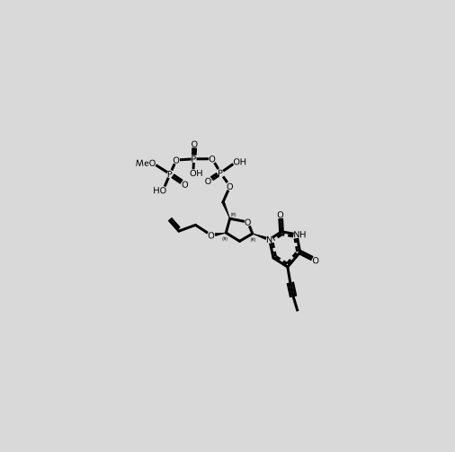 C=CCO[C@@H]1C[C@H](n2cc(C#CC)c(=O)[nH]c2=O)O[C@@H]1COP(=O)(O)OP(=O)(O)OP(=O)(O)OC